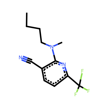 CCCCN(C)c1nc(C(F)(F)F)ccc1C#N